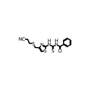 N#CCCSCc1csc(NC(=S)NC(=O)c2ccccc2)n1